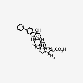 C[C@H](CCC(=O)O)[C@H]1CC[C@H]2[C@H]3[C@H](CC[C@]12C)[C@@]1(C)CC[C@@](O)(c2ccc(-c4ccccc4)cc2)C[C@H]1CC3(F)F